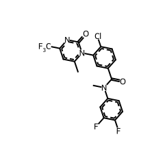 Cc1cc(C(F)(F)F)nc(=O)n1-c1cc(C(=O)N(C)c2ccc(F)c(F)c2)ccc1Cl